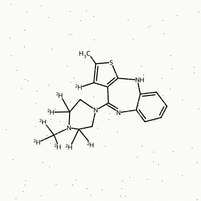 [2H]c1c(C)sc2c1C(N1CC([2H])([2H])N(C([2H])([2H])[2H])C([2H])([2H])C1)=Nc1ccccc1N2